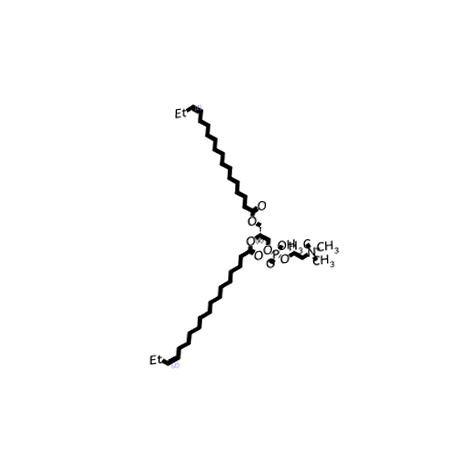 CC/C=C\CCCCCCCCCCCCCC(=O)OC[C@H](COP(=O)(O)OCC[N+](C)(C)C)OC(=O)CCCCCCCCCCCCC/C=C\CC